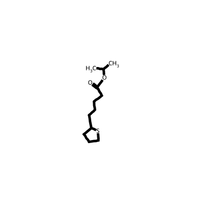 CC(C)OC(=O)CCCCC1CCCS1